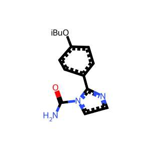 CC(C)COc1ccc(-c2nccn2C(N)=O)cc1